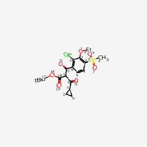 CCOc1c(S(C)(=O)=O)ccc(C(=O)C(C(=O)OC(C)(C)C)C(=O)C2CC2)c1Cl